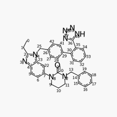 CCc1nc2ccc(N3CCCN(Cc4ccccc4)C3=O)cc2n1Cc1ccc(-c2ccccc2-c2nnn[nH]2)cc1